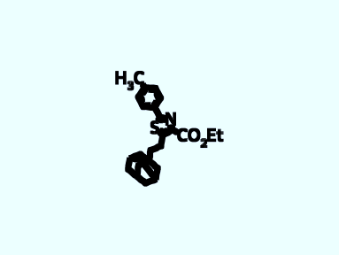 CCOC(=O)c1nc(-c2ccc(C)cc2)sc1CCC12CC3CC(CC(C3)C1)C2